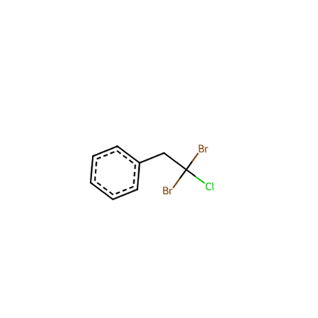 ClC(Br)(Br)Cc1ccccc1